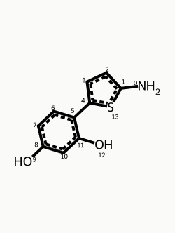 Nc1ccc(-c2ccc(O)cc2O)s1